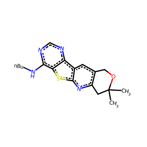 CCCCNc1ncnc2c1sc1nc3c(cc12)COC(C)(C)C3